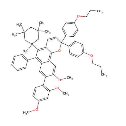 CCCOc1ccc(C2(c3ccc(OCCC)cc3)C=Cc3c(C4(C)CC(C)(C)CC(C)(C)C4)c(-c4ccccc4)c4cc(-c5ccc(OC)cc5OC)c(OC)cc4c3O2)cc1